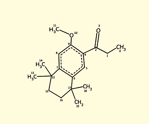 CCC(=O)c1cc2c(cc1OC)C(C)(C)CCC2(C)C